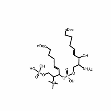 CCCCCCCCCCCCCC=CC(O)C(COP(=O)(O)OC(C=CCCCCCCCCCCCCC)C(COP(=O)(O)O)[N+](C)(C)C)NC(C)=O